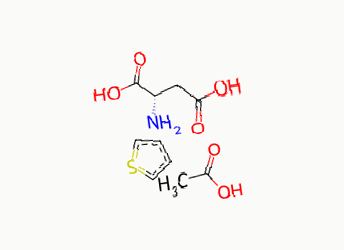 CC(=O)O.N[C@@H](CC(=O)O)C(=O)O.c1ccsc1